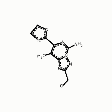 Cc1c(-c2ncco2)nc(N)n2nc(CCl)nc12